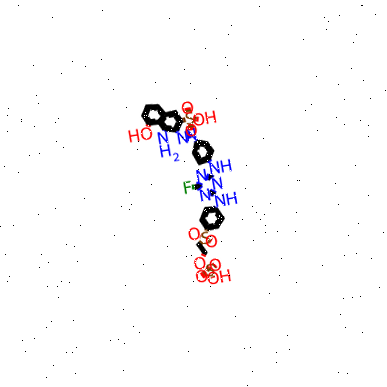 Nc1c(N=Nc2ccc(Nc3nc(F)nc(Nc4ccc(S(=O)(=O)CCOS(=O)(=O)O)cc4)n3)cc2)c(S(=O)(=O)O)cc2cccc(O)c12